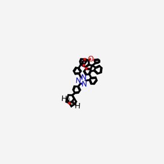 c1ccc(-c2cccc(-c3nc(-c4ccc(C56C[C@@H]7CC8C[C@@H](C5)[C@@]8(C7)C6)cc4)nc(-c4ccccc4-c4cccc5c4-c4ccccc4C54c5ccccc5Oc5ccccc54)n3)c2)cc1